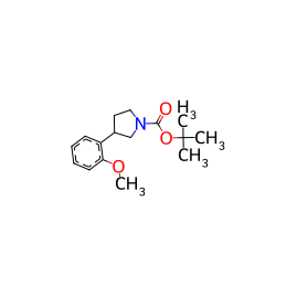 COc1ccccc1C1CCN(C(=O)OC(C)(C)C)C1